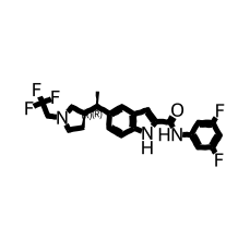 C[C@@H](c1ccc2[nH]c(C(=O)Nc3cc(F)cc(F)c3)cc2c1)[C@H]1CCN(CC(F)(F)F)C1